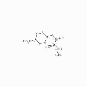 CCN(CC1CCC(C(=O)O)CC1)C(=O)NC(C)(C)C